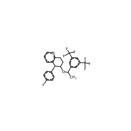 CC(OC1CCc2ncccc2C1c1ccc(F)cc1)c1cc(C(F)(F)F)cc(C(F)(F)F)c1